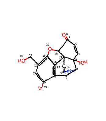 O=C1C=CC2(O)C3Cc4c(Br)cc(CO)c5c4C2(CCN3)C1O5